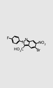 O=C(O)c1c2cc(Br)c([N+](=O)[O-])cc2nn1-c1ccc(F)cc1